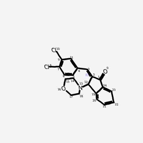 O=C1/C(=C/c2ccc(Cl)c(Cl)c2)C(N2CCOCC2)c2ccccc21